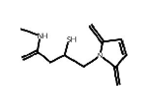 C=C(CC(S)Cn1c(=C)ccc1=C)NC